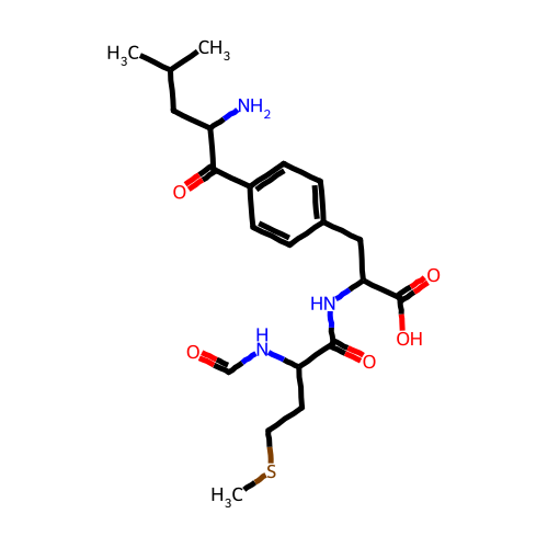 CSCCC(NC=O)C(=O)NC(Cc1ccc(C(=O)C(N)CC(C)C)cc1)C(=O)O